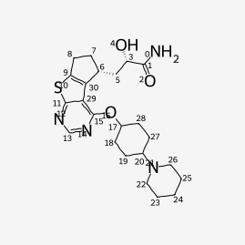 NC(=O)[C@@H](O)C[C@H]1CCc2sc3ncnc(OC4CCC(N5CCCCC5)CC4)c3c21